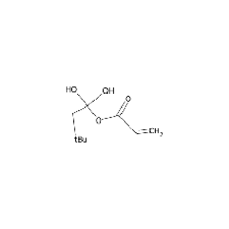 C=CC(=O)OC(O)(O)CC(C)(C)C